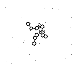 c1ccc(-c2cccc(-c3ccc4c(c3)oc3cccc(-c5nc(-c6ccc7ccc(-c8ccccc8)cc7c6)c6sc7ccccc7c6n5)c34)c2)cc1